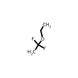 [CH2]C(F)(F)OCC